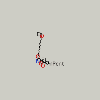 CCCCCc1ccc(-c2cc3cc(OCCCCCCCCCCCCOCC)cnc3oc2=O)c(CC)c1